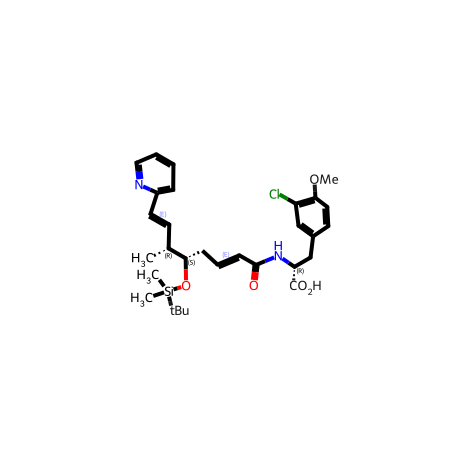 COc1ccc(C[C@@H](NC(=O)/C=C/C[C@H](O[Si](C)(C)C(C)(C)C)[C@H](C)/C=C/c2ccccn2)C(=O)O)cc1Cl